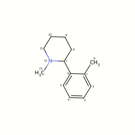 Cc1ccccc1C1CCCCN1C